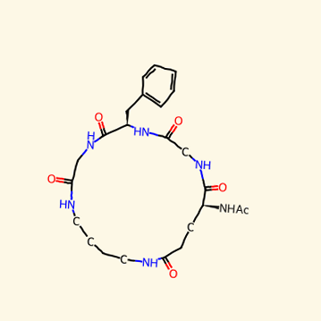 CC(=O)N[C@H]1CCC(=O)NCCCCNC(=O)CNC(=O)[C@@H](Cc2ccccc2)NC(=O)CNC1=O